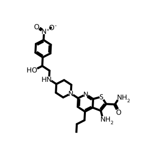 CCCc1cc(N2CCC(NCC(O)c3ccc([N+](=O)[O-])cc3)CC2)nc2sc(C(N)=O)c(N)c12